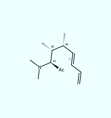 C=C/C=C/[C@@H](C)[C@@H](C)[C@@H](C(C)=O)N(C)C